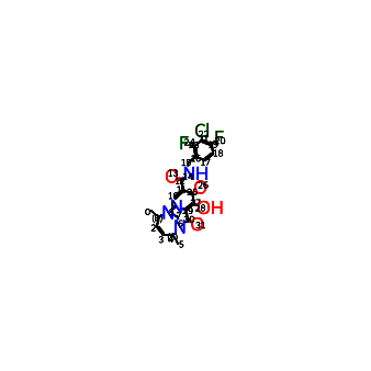 C[C@@H]1C=C[C@H](C)N2CN1n1cc(C(=O)NCc3ccc(F)c(Cl)c3F)c(=O)c(O)c1C2=O